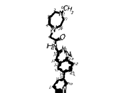 CN1CCCN(CC(=O)Nc2cc3cc(-c4cccnc4)ccc3nn2)CC1